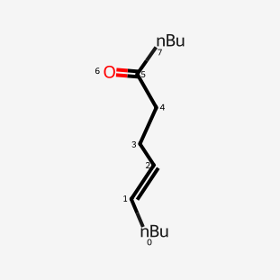 CCCCC=CCCC(=O)CCCC